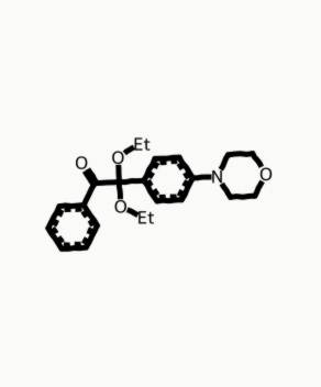 CCOC(OCC)(C(=O)c1ccccc1)c1ccc(N2CCOCC2)cc1